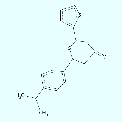 CC(C)c1ccc(C2CC(=O)CC(c3cccs3)S2)cc1